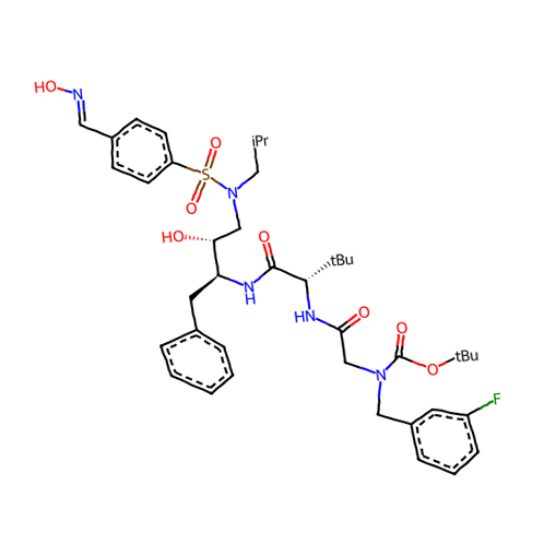 CC(C)CN(C[C@@H](O)[C@H](Cc1ccccc1)NC(=O)[C@@H](NC(=O)CN(Cc1cccc(F)c1)C(=O)OC(C)(C)C)C(C)(C)C)S(=O)(=O)c1ccc(C=NO)cc1